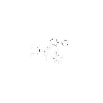 C=C(C)C(=O)OCc1cccc(-c2ccccc2)c1COC(=O)C(=C)C